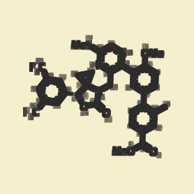 COC(=O)c1ccc(-c2ccc(OC)c(-c3ncc(SC)nc3CN3C(=O)O[C@H](c4cc(C(F)(F)F)cc(C(F)(F)F)c4)C34CC4)c2)c(C)c1